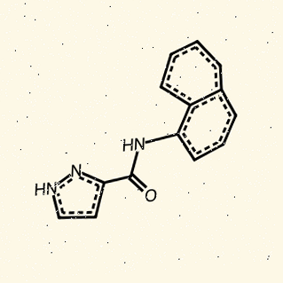 O=C(Nc1cccc2ccccc12)c1cc[nH]n1